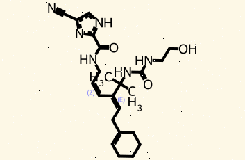 CC(C)(NC(=O)NCCO)C(/C=C\CNC(=O)c1nc(C#N)c[nH]1)=C/CC1=CCCCC1